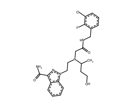 CC(CCO)N(CCn1nc(C(N)=O)c2ccccc21)CC(=O)NCc1cccc(Cl)c1F